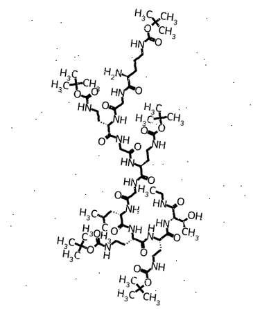 CCNC(=O)[C@@H](NC(=O)[C@H](CCNC(=O)OC(C)(C)C)NC(=O)[C@H](CCNC(=O)OC(C)(C)C)NC(=O)[C@H](CC(C)C)NC(=O)CNC(=O)[C@H](CCNC(=O)OC(C)(C)C)NC(=O)CNC(=O)[C@H](CCNC(=O)OC(C)(C)C)NC(=O)CNC(=O)[C@@H](N)CCCNC(=O)OC(C)(C)C)[C@H](C)O